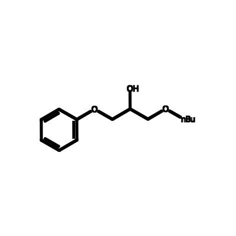 CCCCOCC(O)COc1ccccc1